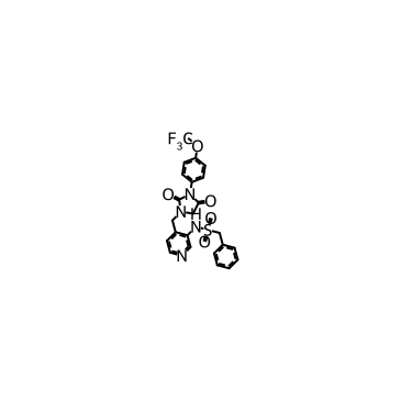 O=C1CN(Cc2ccncc2NS(=O)(=O)Cc2ccccc2)C(=O)N1c1ccc(OC(F)(F)F)cc1